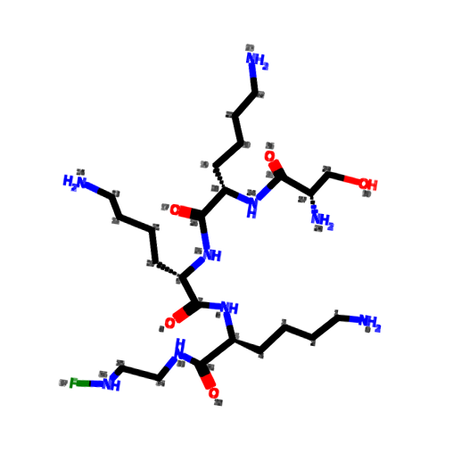 NCCCC[C@H](NC(=O)[C@H](CCCCN)NC(=O)[C@H](CCCCN)NC(=O)[C@@H](N)CO)C(=O)NCCNF